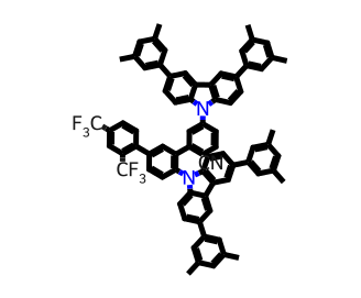 Cc1cc(C)cc(-c2ccc3c(c2)c2cc(-c4cc(C)cc(C)c4)ccc2n3-c2ccc(C#N)c(-c3cc(-c4ccc(C(F)(F)F)cc4C(F)(F)F)ccc3-n3c4ccc(-c5cc(C)cc(C)c5)cc4c4cc(-c5cc(C)cc(C)c5)ccc43)c2)c1